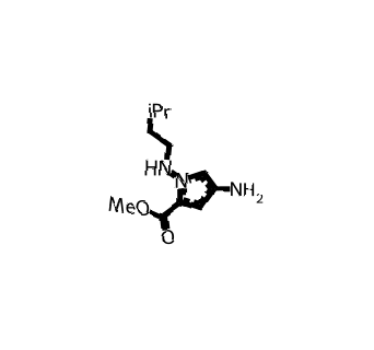 COC(=O)c1cc(N)cn1NCCC(C)C